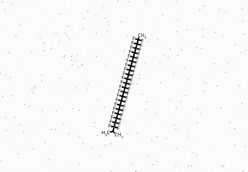 CC(C)C(F)(F)C(F)(F)C(F)(F)C(F)(F)C(F)(F)C(F)(F)C(F)(F)C(F)(F)C(F)(F)C(F)(F)C(F)(F)C(F)(F)C(F)(F)C(F)(F)C(F)(F)C(F)(F)C(F)(F)C(F)(F)C(F)(F)C(F)(F)C(C)(F)F